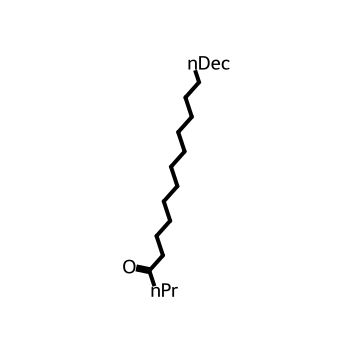 [CH2]CCC(=O)CCCCCCCCCCCCCCCCCCCCC